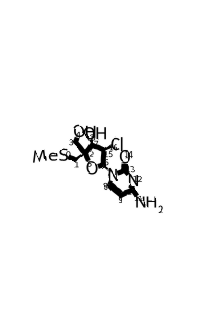 CSC[C@]1(CO)O[C@@H](n2ccc(N)nc2=O)[C@H](Cl)[C@@H]1O